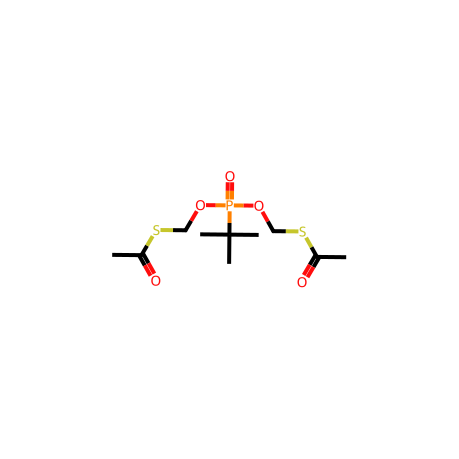 CC(=O)SCOP(=O)(OCSC(C)=O)C(C)(C)C